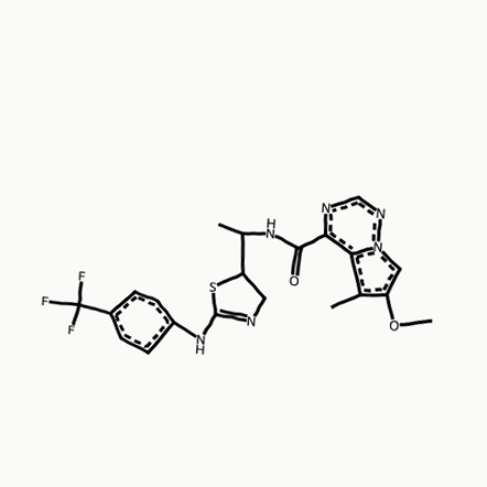 COc1cn2ncnc(C(=O)NC(C)C3CN=C(Nc4ccc(C(F)(F)F)cc4)S3)c2c1C